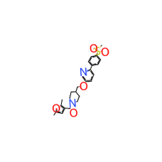 Cc1cc(C(=O)N2CCC(COc3ccc(-c4ccc(S(C)(=O)=O)cc4)nc3)CC2)c(C)o1